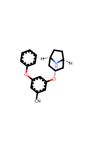 N#Cc1cc(Oc2ccccc2)cc(O[C@@H]2C[C@H]3CC[C@@H](C2)N3)c1